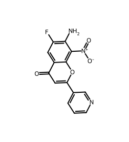 Nc1c(F)cc2c(=O)cc(-c3cccnc3)oc2c1[N+](=O)[O-]